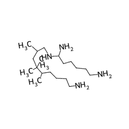 CC(CNC(N)CCCCCN)CC(C)(C)C(C)CCCCN